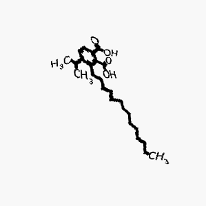 CCCCCCCCCCCCCCc1c(C(C)C)ccc(C(=O)O)c1C(=O)O